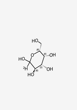 [2H]C1(O)O[C@H](CO)[C@H](O)[C@H](O)[C@H]1O